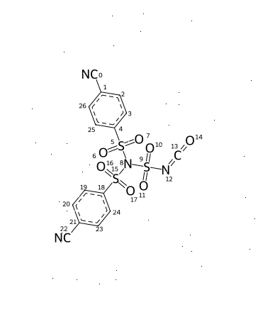 N#Cc1ccc(S(=O)(=O)N(S(=O)(=O)N=C=O)S(=O)(=O)c2ccc(C#N)cc2)cc1